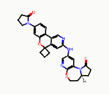 O=C1CCCN1c1ccc2c(c1)OC1(CCC1)c1cc(Nc3cnc4c(c3)N3C(=O)CC[C@H]3CCO4)ncc1-2